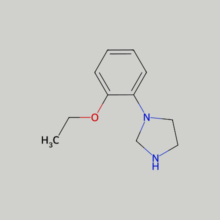 CCOc1ccccc1N1CCNC1